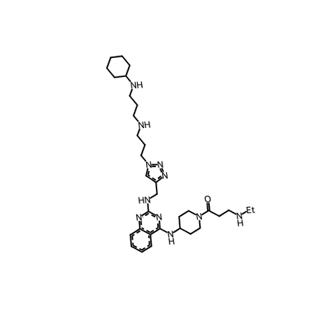 CCNCCC(=O)N1CCC(Nc2nc(NCc3cn(CCCNCCCNC4CCCCC4)nn3)nc3ccccc23)CC1